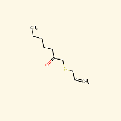 C=CCSCC(=O)CCCCC